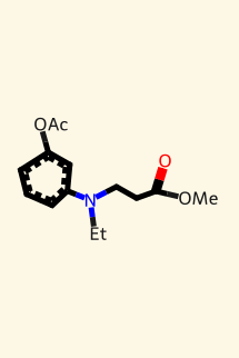 CCN(CCC(=O)OC)c1cccc(OC(C)=O)c1